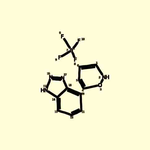 C1=CNOC=C1.F[B-](F)(F)F.c1ccc2[nH]nnc2c1